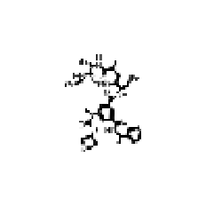 CC(C)CNC(=O)C(NC(=O)C(C)CC(O)C(CC(C)C)NC(=O)c1cc(C(=O)NC(C)c2ccccc2)cc(N(C)C(=O)OC2CCOC2)c1)C(C)C